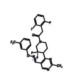 Cc1ncc(/C=N/Oc2cccc(C(F)(F)F)c2)c(C2CCN(C(=O)Cc3c(F)cccc3F)CC2(F)F)n1